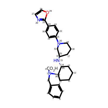 O=C(O)N(Cc1ccccc1)[C@@H]1CCCC[C@H]1N[C@H]1CCCN(c2ccc(-c3ncco3)cc2)C1